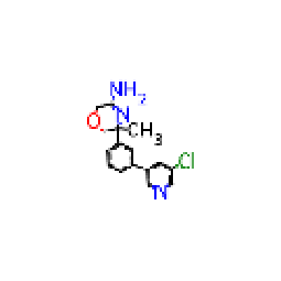 CC1(c2cccc(-c3cncc(Cl)c3)c2)COCC(N)=N1